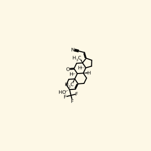 C[C@]12CC[C@](O)(C(F)(F)F)C=C1CC[C@@H]1[C@@H]2C(=O)C[C@]2(C)/C(=C\C#N)CC[C@@H]12